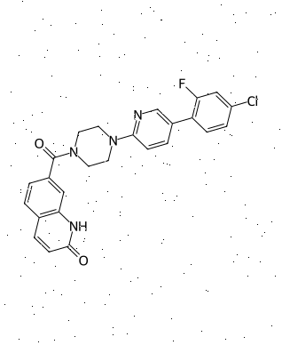 O=C(c1ccc2ccc(=O)[nH]c2c1)N1CCN(c2ccc(-c3ccc(Cl)cc3F)cn2)CC1